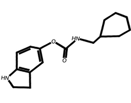 O=C(NCC1CCCCC1)Oc1ccc2c(c1)CCN2